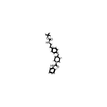 CC(C)(C)OC(=O)NCCc1ccc(SC2CCN(C(=O)Nc3ccccc3)CC2)cc1